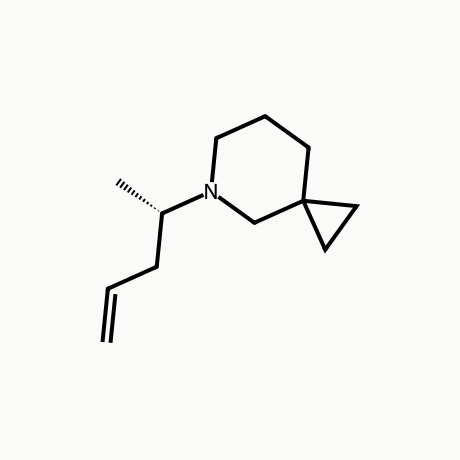 C=CC[C@H](C)N1CCCC2(CC2)C1